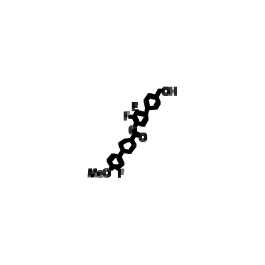 COc1ccc(C2CCC(C(=O)Oc3ccc(-c4ccc(CO)cc4)c(F)c3F)CC2)cc1F